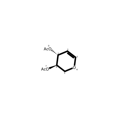 CC(=O)O[C@@H]1C=COC[C@H]1OC(C)=O